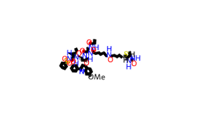 C=CC(=O)NCC(NC(=O)CCCCCNC(=O)CCCC[C@@H]1SC[C@@H]2NC(=O)N[C@@H]21)C(=O)N1C[C@H](Oc2cc(-c3ccccc3)nc3cc(OC)ccc23)C[C@H]1C(=O)N[C@]1(C(=O)NS(=O)(=O)c2ccccc2)C[C@H]1C=C